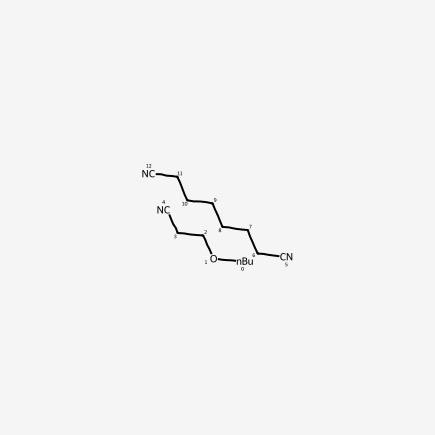 CCCCOCCC#N.N#CCCCCCCC#N